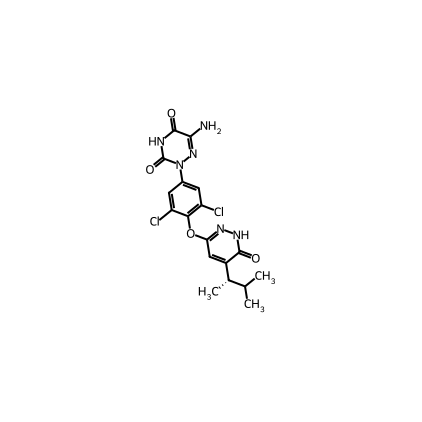 CC(C)[C@H](C)c1cc(Oc2c(Cl)cc(-n3nc(N)c(=O)[nH]c3=O)cc2Cl)n[nH]c1=O